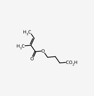 CC=C(C)C(=O)OCCCC(=O)O